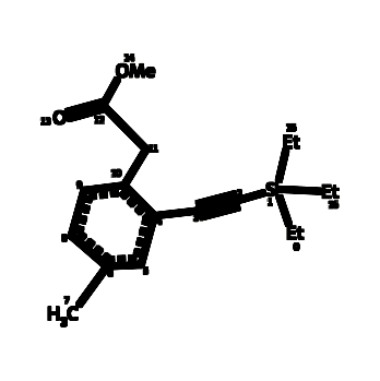 CC[Si](C#Cc1cc(C)ccc1CC(=O)OC)(CC)CC